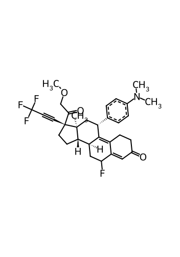 COCC(=O)[C@@]1(C#CC(F)(F)F)CC[C@H]2[C@@H]3CC(F)C4=CC(=O)CCC4=C3[C@@H](c3ccc(N(C)C)cc3)C[C@@]21C